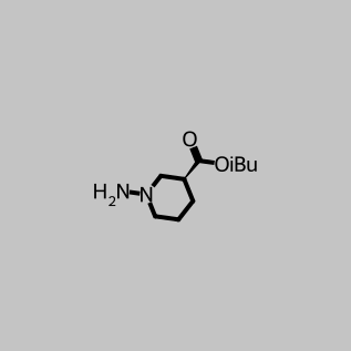 CC(C)COC(=O)[C@H]1CCCN(N)C1